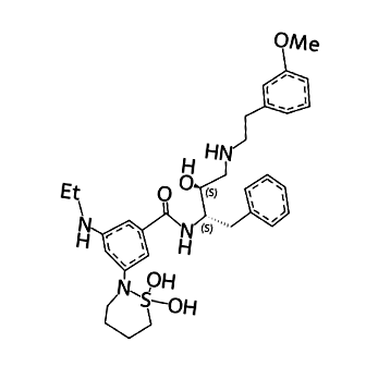 CCNc1cc(C(=O)N[C@@H](Cc2ccccc2)[C@@H](O)CNCCc2cccc(OC)c2)cc(N2CCCCS2(O)O)c1